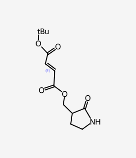 CC(C)(C)OC(=O)/C=C/C(=O)OCC1CCNC1=O